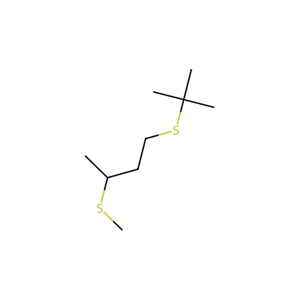 CSC(C)CCSC(C)(C)C